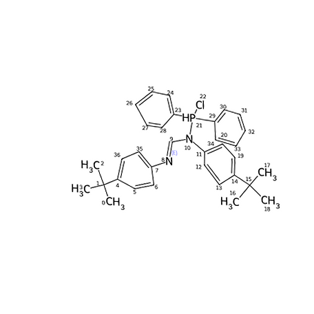 CC(C)(C)c1ccc(/N=C/N(c2ccc(C(C)(C)C)cc2)[PH](Cl)(c2ccccc2)c2ccccc2)cc1